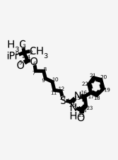 CC(C)C(C)(C)C(=O)OCCCCCCSc1nc(-c2ccccc2)cc(=O)[nH]1